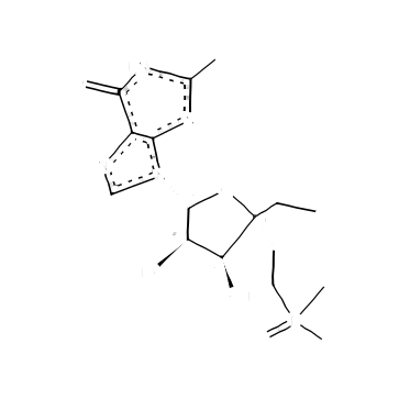 C=P(C)(C)CC[C@@]1(CC)O[C@@H](n2cnc3c(=O)[nH]c(C)nc32)[C@H](O)[C@@H]1O